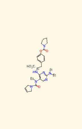 CCN(CC)c1ncc(N(CC)C(=O)N2CC=CC2)c(N[C@@H](Cc2ccc(OC(=O)N3CCCC3)cc2)C(=O)O)n1